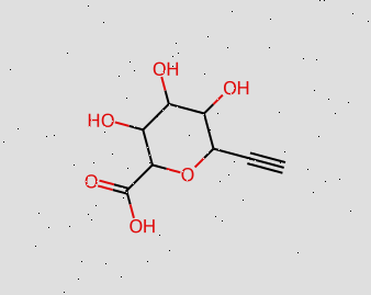 C#CC1OC(C(=O)O)C(O)C(O)C1O